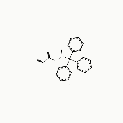 C=CC(=O)ON(CC)C(c1ccccc1)(c1ccccc1)c1ccccc1.Cl